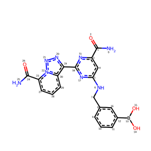 NC(=O)c1cc(NCc2cccc(B(O)O)c2)nc(-c2nnn3c(C(N)=O)cccc23)n1